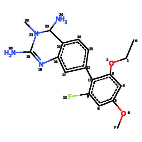 CCOc1cc(OC)cc(F)c1-c1ccc2c(c1)N=C(N)N(C)C2N